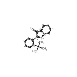 CC(C)(C)c1ccccc1-n1sc2ccccc2c1=O